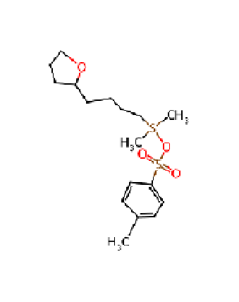 Cc1ccc(S(=O)(=O)OS(C)(C)CCCCC2CCCO2)cc1